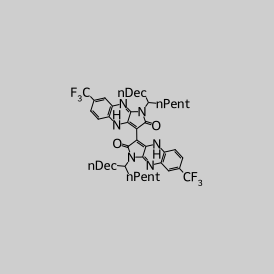 CCCCCCCCCCC(CCCCC)n1c2nc3cc(C(F)(F)F)ccc3[nH]c-2c(-c2c3[nH]c4ccc(C(F)(F)F)cc4nc-3n(C(CCCCC)CCCCCCCCCC)c2=O)c1=O